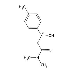 Cc1ccc([C@H](O)CC(=O)N(C)C)cc1